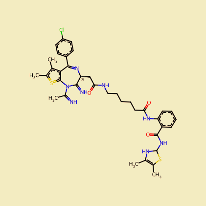 CC(=N)N1C(=N)[C@H](CC(=O)NCCCCCC(=O)Nc2ccccc2C(=O)NC2NC(C)=C(C)S2)N=C(c2ccc(Cl)cc2)c2c1sc(C)c2C